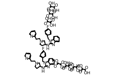 Fc1ccc(Cn2c(NC3CCN(CCc4ccccn4)C3)nc3ccccc32)cc1.Fc1ccc(Cn2c(NC3CCN(CCc4ccccn4)C3)nc3ccccc32)cc1.O=C(O)C(=O)O.O=C(O)C(=O)O.O=C(O)C(=O)O.O=C(O)C(=O)O.O=C(O)C(=O)O.O=C(O)C(=O)O.O=C(O)C(=O)O